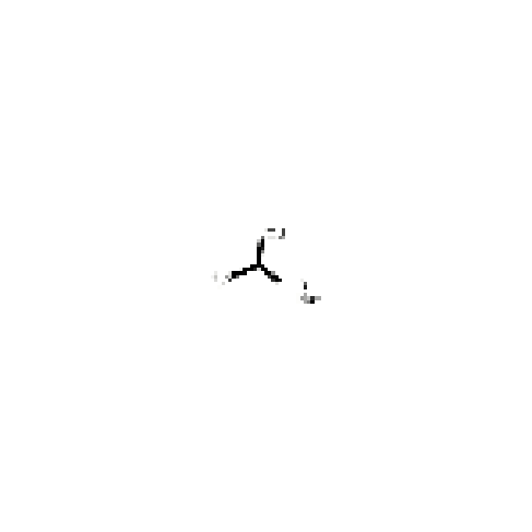 NC(C=O)C(=O)O.[NaH]